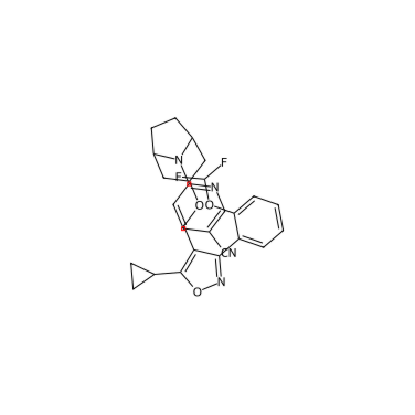 N#Cc1ccc(N2C3CCC2CC(OCc2c(-c4ccccc4OC(F)F)noc2C2CC2)C3)nc1